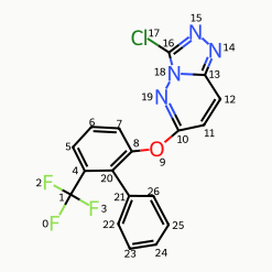 FC(F)(F)c1cccc(Oc2ccc3nnc(Cl)n3n2)c1-c1ccccc1